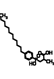 CCCCCCCCCCCCc1ccc(P(=O)(O)CC(C)C(=O)O)cc1